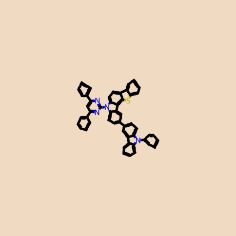 c1ccc(-c2cc(-c3ccccc3)nc(-n3c4ccc(-c5ccc6c(c5)c5ccccc5n6-c5ccccc5)cc4c4c5sc6ccccc6c5ccc43)n2)cc1